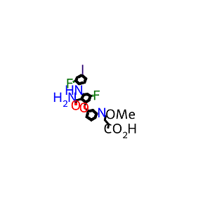 COC(CCC(=O)O)=Nc1cccc(Oc2cc(F)cc(Nc3ccc(I)cc3F)c2C(N)=O)c1